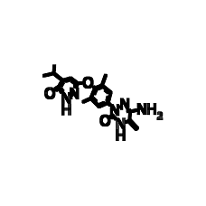 C=C1NC(=O)N(c2cc(C)c(Oc3cc(C(C)C)c(=O)[nH]n3)c(C)c2)N=C1N